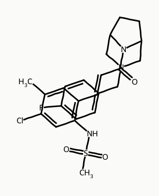 Cc1cc(C=CC(=O)N2C3CCC2CN(Cc2ccc(F)cc2)C3)c(NS(C)(=O)=O)cc1Cl